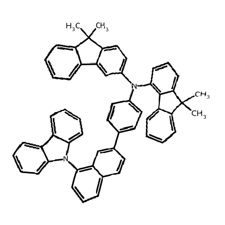 CC1(C)c2ccccc2-c2cc(N(c3ccc(-c4ccc5cccc(-n6c7ccccc7c7ccccc76)c5c4)cc3)c3cccc4c3-c3ccccc3C4(C)C)ccc21